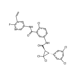 C=Cc1cc(NC(=O)c2cc(NC(=O)[C@H]3[C@H](c4cc(Cl)cc(Cl)c4)C3(Cl)Cl)ccc2Cl)cnc1F